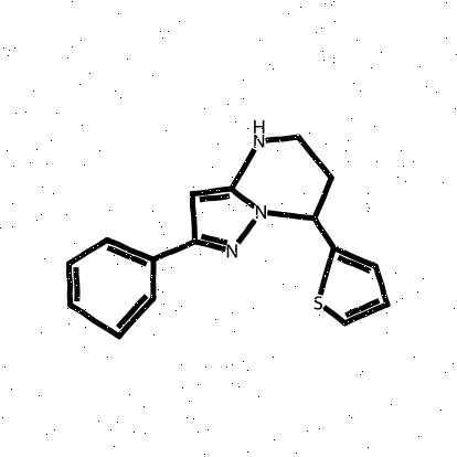 c1ccc(-c2cc3n(n2)C(c2cccs2)CCN3)cc1